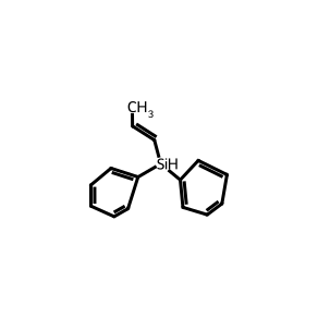 CC=C[SiH](c1ccccc1)c1ccccc1